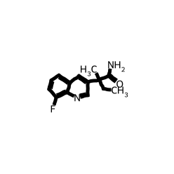 CCC(C)(C(N)=O)c1cnc2c(F)cccc2c1